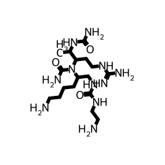 CC(NC(N)=O)C(CCNC(=N)N)N(C(N)=O)C(CCCCN)CNC(=O)NCCN